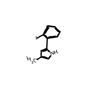 Cc1c[nH]c(-c2ccccc2I)c1